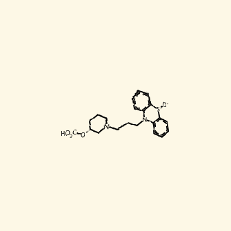 O=C(O)O[C@@H]1CCCN(CCCN2c3ccccc3[S+]([O-])c3ccccc32)C1